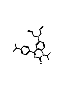 C=CCN(CC=C)c1ccc2c(c1)c(-c1ccc(C(C)C)cc1)nc(=O)n2C(C)C